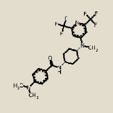 CN(C)c1ccc(C(=O)N[C@H]2CC[C@@H](N(C)c3cc(C(F)(F)F)nc(C(F)(F)F)c3)CC2)cc1